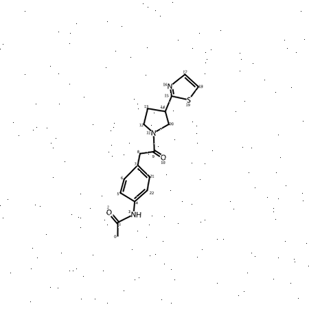 CC(=O)Nc1ccc(CC(=O)N2CCC(c3nccs3)C2)cc1